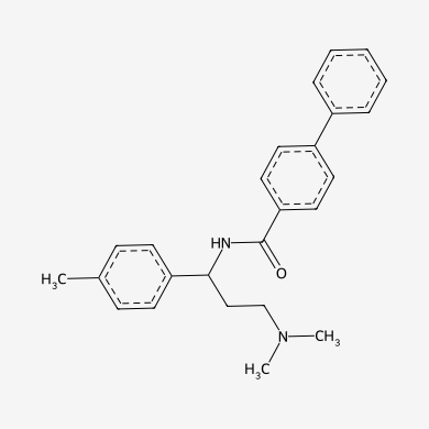 Cc1ccc(C(CCN(C)C)NC(=O)c2ccc(-c3ccccc3)cc2)cc1